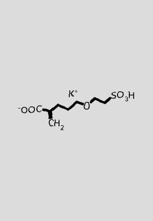 C=C(CCCOCCS(=O)(=O)O)C(=O)[O-].[K+]